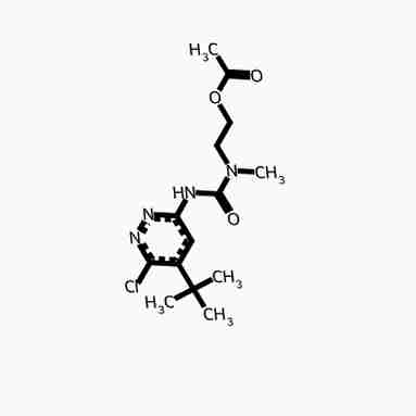 CC(=O)OCCN(C)C(=O)Nc1cc(C(C)(C)C)c(Cl)nn1